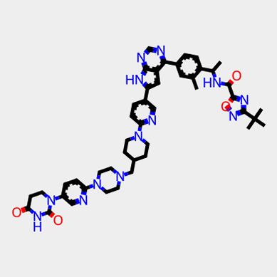 Cc1cc(-c2ncnc3[nH]c(-c4ccc(N5CCC(CN6CCN(c7ccc(N8CCC(=O)NC8=O)cn7)CC6)CC5)nc4)cc23)ccc1C(C)NC(=O)c1nc(C(C)(C)C)no1